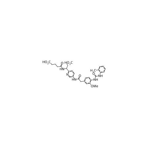 COc1cc(CC(=O)Nc2ccc(C(CC(=O)O)NC(=O)CCCC(=O)O)nc2)ccc1NC(=O)Nc1ccccc1C